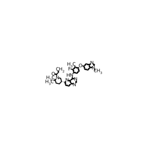 C=CC(=O)N1C[C@H](c2ccc3ncnc(Nc4ccc(Oc5ccc6c(c5)ncn6C)c(C)c4F)c3n2)CCC1(C)C